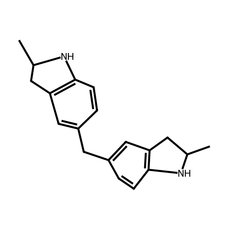 CC1Cc2cc(Cc3ccc4c(c3)CC(C)N4)ccc2N1